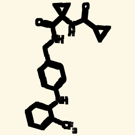 O=C(NC1(C(=O)NCc2ccc(Nc3ccccc3C(F)(F)F)cc2)CC1)C1CC1